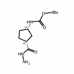 CC(C)(C)OC(=O)N[C@H]1CC[C@@H](C(=O)NN)C1